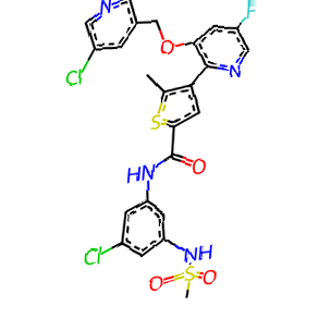 Cc1sc(C(=O)Nc2cc(Cl)cc(NS(C)(=O)=O)c2)cc1-c1ncc(F)cc1OCc1cncc(Cl)c1